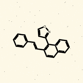 C(=Cc1ccc2ccccc2c1-c1ccon1)c1ccccc1